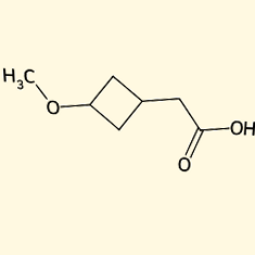 COC1CC(CC(=O)O)C1